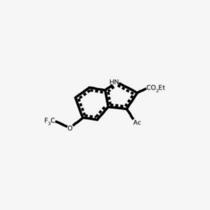 CCOC(=O)c1[nH]c2ccc(OC(F)(F)F)cc2c1C(C)=O